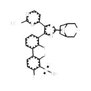 CSc1nccc(-c2sc(N3C4CCC3COC4)nc2-c2cccc(-c3ccc(F)c(S(N)(=O)=O)c3F)c2F)n1